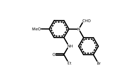 CCC(=O)Nc1cc(OC)ccc1N(C=O)c1ccc(Br)cc1